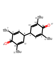 CC(C)(C)C1=CC(C2C=C(C(C)(C)C)C(=O)C(C(C)(C)C)=C2)C=C(C(C)(C)C)C1=O